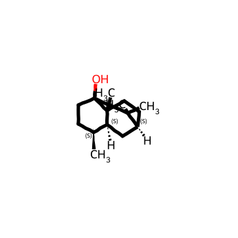 C[C@H]1CCC2(O)C(C)(C)[C@H]3CCC2(C)[C@H]1C3